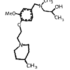 COc1cc(CN(C)CC(C)O)ccc1OCCN1CCC(C)CC1